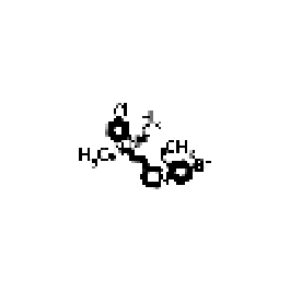 CCN1C(=CC=C2CCCn3c2[n+](CC)c2cc(Br)ccc23)N(CC)c2cc(Cl)ccc21